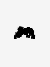 N#CN1CC2CC[C@]2(NC(=O)c2ncc(-c3ccccc3Oc3ccc(F)cc3)s2)C1